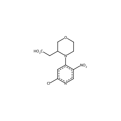 O=C(O)CC1COCCN1c1cc(Cl)ncc1[N+](=O)[O-]